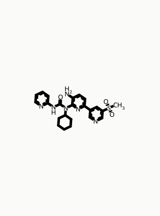 CS(=O)(=O)c1cncc(-c2ccc(N)c(N(C(=O)Nc3ccccn3)C3CCCCC3)n2)c1